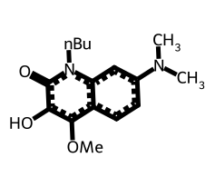 CCCCn1c(=O)c(O)c(OC)c2ccc(N(C)C)cc21